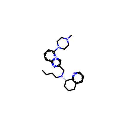 CCCCN(Cc1cn2c(N3CCN(C)CC3)cccc2n1)[C@H]1CCCc2cccnc21